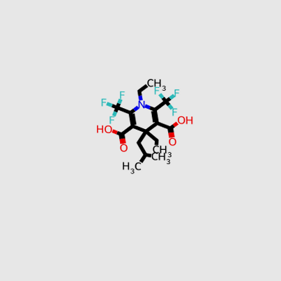 CCN1C(C(F)(F)F)=C(C(=O)O)C(CC)(CC(C)C)C(C(=O)O)=C1C(F)(F)F